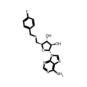 Nc1ncnc2c1ncn2[C@@H]1O[C@@H](CSCc2ccc(F)cc2)[C@H](O)[C@H]1O